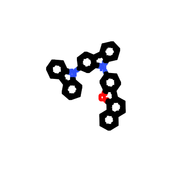 c1ccc2c(c1)ccc1c3ccc(-n4c5ccccc5c5ccc(-n6c7ccccc7c7ccccc76)cc54)cc3oc21